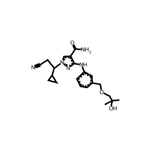 CC(C)(O)COCc1cccc(Nc2nn(C(CC#N)C3CC3)cc2C(N)=O)c1